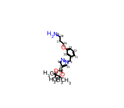 CC1(C)OB(c2cnn(Cc3cccc(OCCCN)c3)c2)OC1(C)C